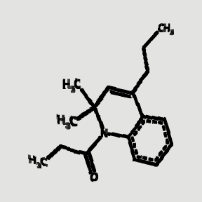 CCCC1=CC(C)(C)N(C(=O)CC)c2ccccc21